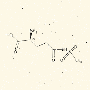 CS(=O)(=O)NC(=O)CC[C@H](N)C(=O)O